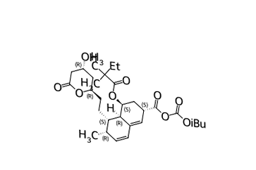 CCC(C)(C)C(=O)O[C@H]1C[C@H](C(=O)OC(=O)OCC(C)C)C=C2C=C[C@H](C)[C@H](CC[C@@H]3C[C@@H](O)CC(=O)O3)[C@H]21